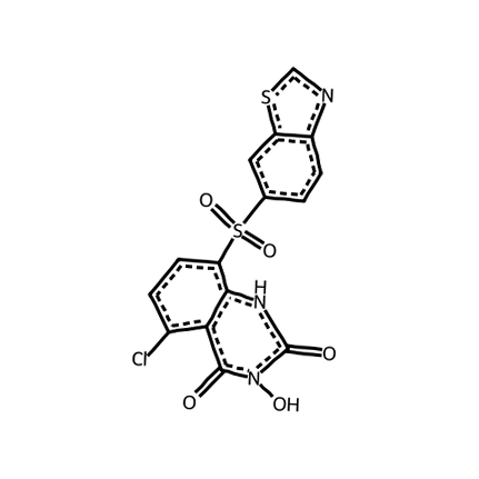 O=c1[nH]c2c(S(=O)(=O)c3ccc4ncsc4c3)ccc(Cl)c2c(=O)n1O